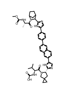 COC(=O)N[C@@H](C)C(=O)N1C2CCC(C2)C1c1ncc(-c2ccc(-c3ccc4cc(-c5cnc([C@@H]6CC7(CC7)CN6C(=O)[C@@H](NC(=O)O)C(C)C)[nH]5)ccc4c3)cc2)[nH]1